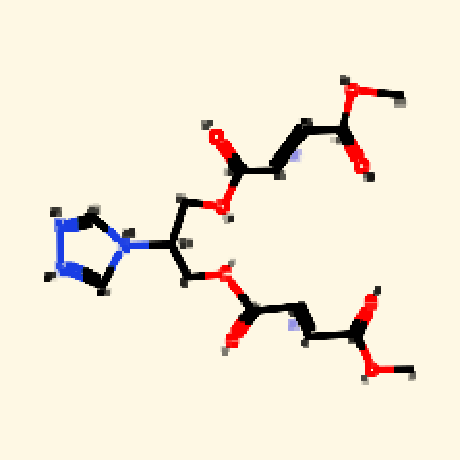 COC(=O)/C=C/C(=O)OCC(COC(=O)/C=C/C(=O)OC)n1cnnc1